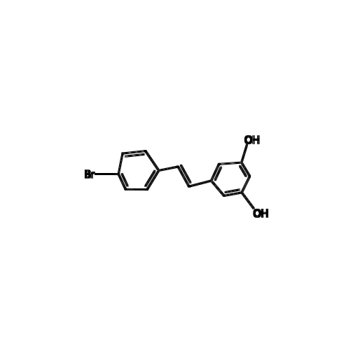 Oc1cc(O)cc(C=Cc2ccc(Br)cc2)c1